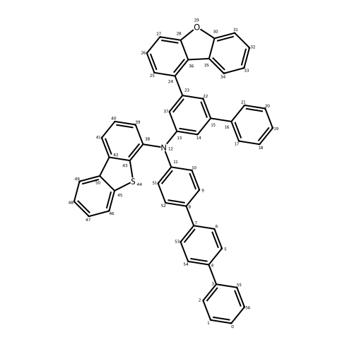 c1ccc(-c2ccc(-c3ccc(N(c4cc(-c5ccccc5)cc(-c5cccc6oc7ccccc7c56)c4)c4cccc5c4sc4ccccc45)cc3)cc2)cc1